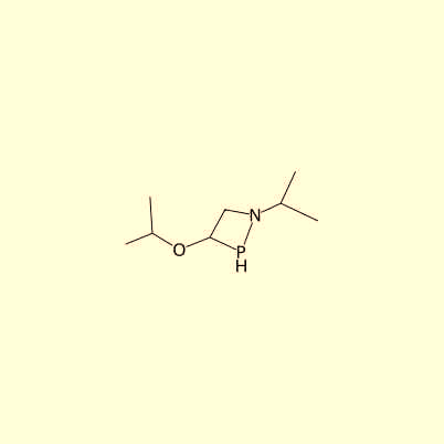 CC(C)OC1CN(C(C)C)P1